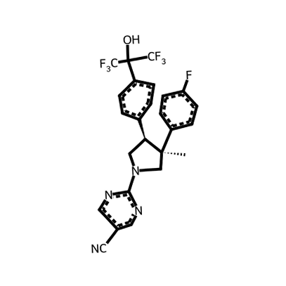 C[C@]1(c2ccc(F)cc2)CN(c2ncc(C#N)cn2)C[C@H]1c1ccc(C(O)(C(F)(F)F)C(F)(F)F)cc1